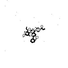 C=CC(=O)N1CCN(c2nc(=O)n(-c3c(C)cc(OC)nc3CCC)c3nc(-c4ccccc4F)c(Cl)cc23)[C@@H](C)C1